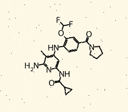 Cc1c(Nc2ccc(C(=O)N3CCCC3)cc2OC(F)F)cc(NC(=O)C2CC2)nc1N